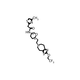 Cc1csc(CC(=O)N[C@H]2CC[C@H](CCN3CCc4nc(OCC(F)(F)F)sc4CC3)OC2)n1